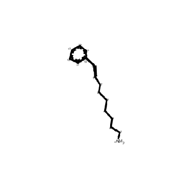 NCCCCCCCC=Cc1ccccc1